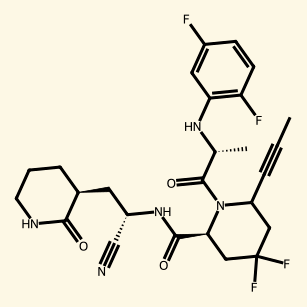 CC#CC1CC(F)(F)C[C@@H](C(=O)N[C@H](C#N)C[C@@H]2CCCNC2=O)N1C(=O)[C@@H](C)Nc1cc(F)ccc1F